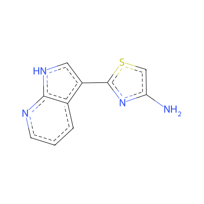 Nc1csc(-c2c[nH]c3ncccc23)n1